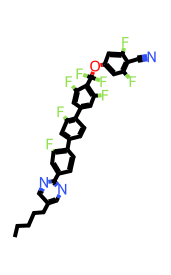 CCCCCc1cnc(-c2ccc(-c3ccc(-c4cc(F)c(C(F)(F)Oc5cc(F)c(C#N)c(F)c5)c(F)c4)c(F)c3)c(F)c2)nc1